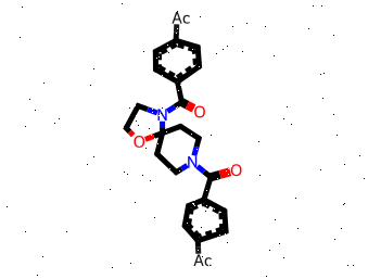 CC(=O)c1ccc(C(=O)N2CCC3(CC2)OCCN3C(=O)c2ccc(C(C)=O)cc2)cc1